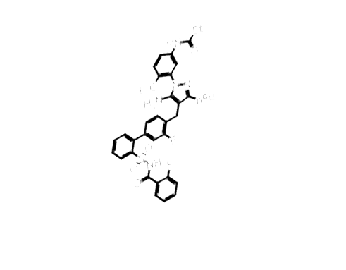 CCCCc1nn(-c2cc(NC(=O)CC)ccc2C(F)(F)F)c(N)c1Cc1ccc(-c2ccccc2S(=O)(=O)NC(=O)c2ccccc2F)cc1F